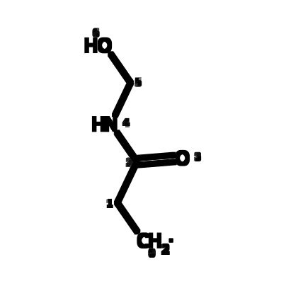 [CH2]CC(=O)NCO